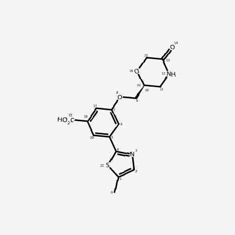 Cc1cnc(-c2cc(OC[C@@H]3CNC(=O)CO3)cc(C(=O)O)c2)s1